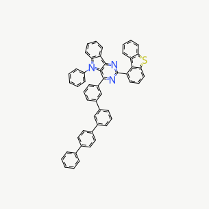 c1ccc(-c2ccc(-c3cccc(-c4cccc(-c5nc(-c6cccc7sc8ccccc8c67)nc6c7ccccc7n(-c7ccccc7)c56)c4)c3)cc2)cc1